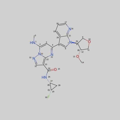 CNc1cc(-c2cn([C@H]3COC[C@@H]3OC)c3ncccc23)nc2c(C(=O)N[C@@H]3C[C@@H]3F)cnn12